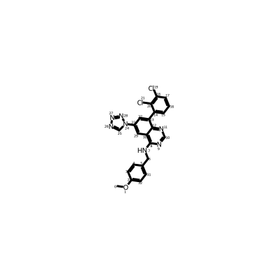 COc1ccc(CNc2ncnc3c(-c4cccc(Cl)c4Cl)cc(-n4cnnn4)cc23)cc1